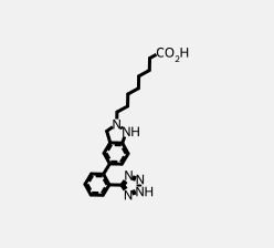 O=C(O)CCCCCCCN1Cc2cc(-c3ccccc3-c3nn[nH]n3)ccc2N1